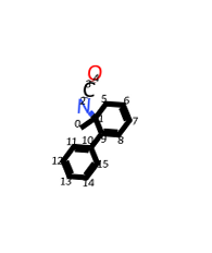 CC1(N=C=O)CC=CC=C1c1ccccc1